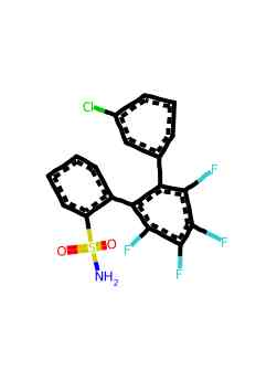 NS(=O)(=O)c1ccccc1-c1c(F)c(F)c(F)c(F)c1-c1cccc(Cl)c1